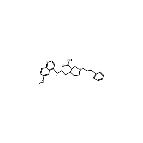 COc1ccc2nccc([C@@H](F)CC[C@@H]3CCN(CCCc4ccccc4)C[C@@H]3C(=O)O)c2c1